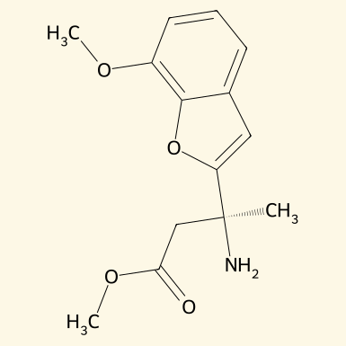 COC(=O)C[C@](C)(N)c1cc2cccc(OC)c2o1